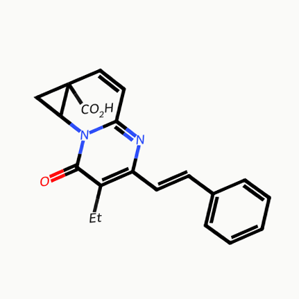 CCc1c(/C=C/c2ccccc2)nc2n(c1=O)C1CC1(C(=O)O)C=C2